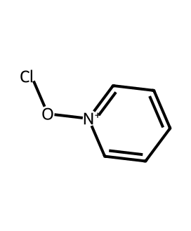 ClO[n+]1ccccc1